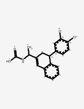 CC(NC(=O)O)C1=Cc2ccccc2C(c2ccc(Cl)c(Cl)c2)C1